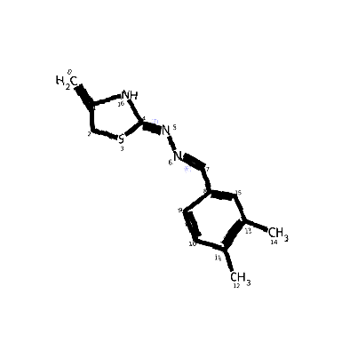 C=C1CS/C(=N\N=C\c2ccc(C)c(C)c2)N1